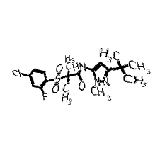 Cn1nc(C(C)(C)C)cc1NC(=O)C(C)(C)S(=O)(=O)c1ccc(Cl)cc1F